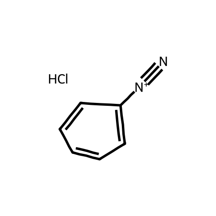 Cl.N#[N+]c1ccccc1